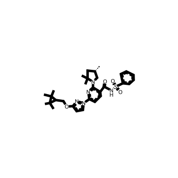 C[C@@H]1CN(c2nc(-n3ccc(OCC4C(C)(C)C4(C)C)n3)ccc2C(=O)NS(=O)(=O)c2ccccc2)C(C)(C)C1